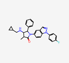 CC1C(=O)N(c2ccc3c(cnn3-c3ccc(F)cc3)c2)C(c2ccccc2)C1NCC1CC1